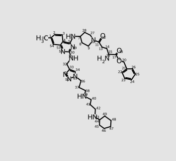 Cc1ccc2c(NC3CCN(C(=O)CC[C@H](N)C(=O)OCc4ccccc4)CC3)nc(NCc3cn(CCCNCCCNC4CCCCC4)nn3)nc2c1